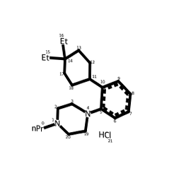 CCCN1CCN(c2ccccc2C2CCC(CC)(CC)CC2)CC1.Cl